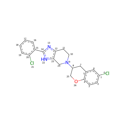 Clc1ccc2c(c1)CC(N1CCc3nc(-c4ccccc4Cl)[nH]c3C1)CO2